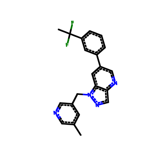 Cc1cncc(Cn2ncc3ncc(-c4cccc(C(C)(F)F)c4)cc32)c1